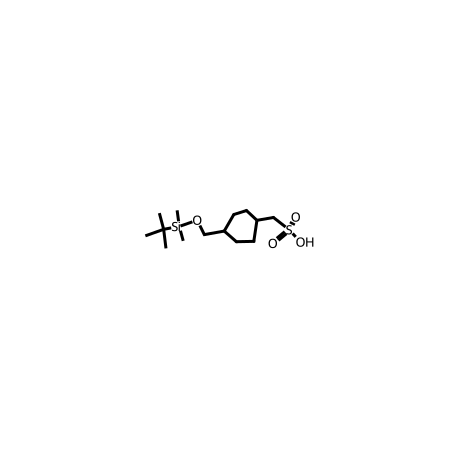 CC(C)(C)[Si](C)(C)OCC1CCC(CS(=O)(=O)O)CC1